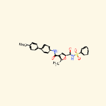 COc1ccc(-c2ccc(NC(=O)c3cc(C(=O)NS(=O)(=O)c4ccccc4)oc3C)cc2)cc1